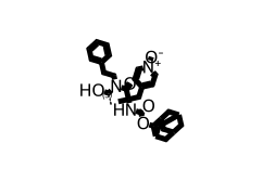 C[C@H](O)N(CCc1ccccc1)C(=O)C(C)(Cc1cc[n+]([O-])cc1)NC(=O)OC1C2CC3CC(C2)CC1C3